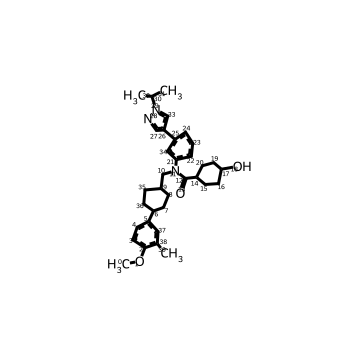 COc1ccc(C2CCC(CN(C(=O)C3CCC(O)CC3)c3cccc(-c4cnn(C(C)C)c4)c3)CC2)cc1C